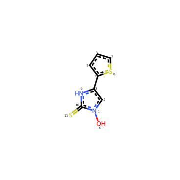 On1cc(-c2cccs2)[nH]c1=S